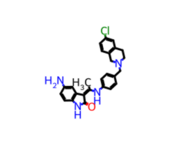 CC(Nc1ccc(CN2CCc3cc(Cl)ccc3C2)cc1)=C1C(=O)Nc2ccc(N)cc21